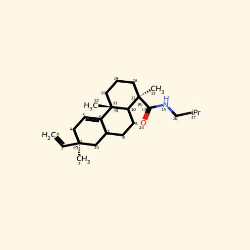 C=C[C@@]1(C)CC=C2C(CCC3[C@](C)(C(=O)NCC(C)C)CCC[C@@]23C)C1